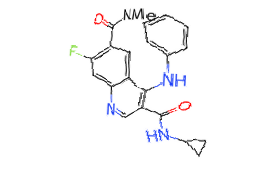 CNC(=O)c1cc2c(Nc3ccccc3)c(C(=O)NC3CC3)cnc2cc1F